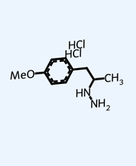 COc1ccc(CC(C)NN)cc1.Cl.Cl